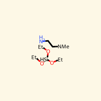 CCO[SiH](OCC)OCC.CNCCN